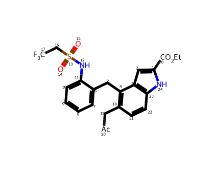 CCOC(=O)c1cc2c(Cc3ccccc3NS(=O)(=O)CC(F)(F)F)c(CC(C)=O)ccc2[nH]1